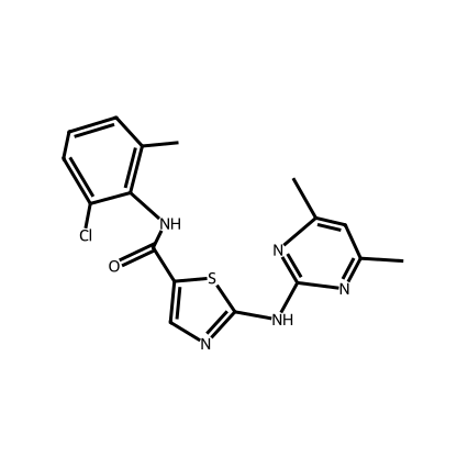 Cc1cc(C)nc(Nc2ncc(C(=O)Nc3c(C)cccc3Cl)s2)n1